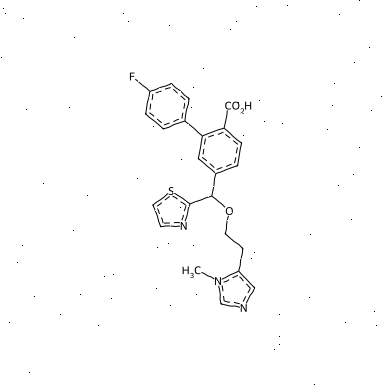 Cn1cncc1CCOC(c1ccc(C(=O)O)c(-c2ccc(F)cc2)c1)c1nccs1